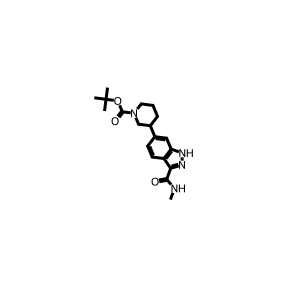 CNC(=O)c1n[nH]c2cc(C3CCCN(C(=O)OC(C)(C)C)C3)ccc12